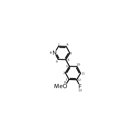 COc1cc(-c2cccnc2)ccc1F